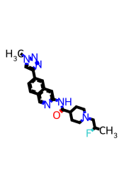 CC(F)CN1CCC(C(=O)Nc2cc3cc(-c4cn(C)nn4)ccc3cn2)CC1